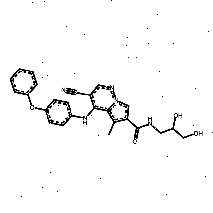 Cc1c(C(=O)NCC(O)CO)cn2ncc(C#N)c(Nc3ccc(Oc4ccccc4)cc3)c12